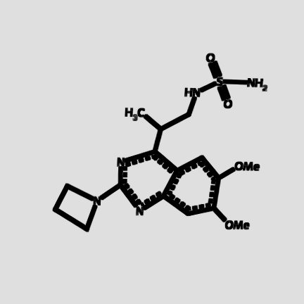 COc1cc2nc(N3CCC3)nc(C(C)CNS(N)(=O)=O)c2cc1OC